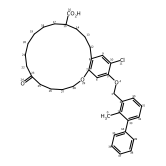 Cc1c(COc2cc3c(cc2Cl)CCCC(C(=O)O)CCCCCCC(=O)CCCCO3)cccc1-c1ccccc1